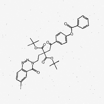 Cc1ccc2nnn(CCC(CC(=O)c3ccc(OC(=O)c4ccccc4)cc3)(C(=O)OC(C)(C)C)C(=O)OC(C)(C)C)c(=O)c2c1